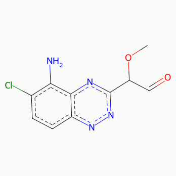 COC(C=O)c1nnc2ccc(Cl)c(N)c2n1